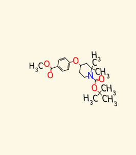 COC(=O)c1ccc(OC2CCN(C(=O)OC(C)(C)C)C(C)(C)C2)cc1